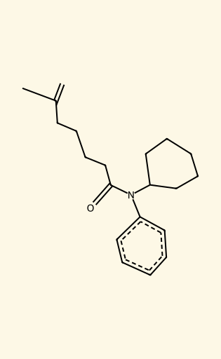 C=C(C)CCCCC(=O)N(c1ccccc1)C1CCCCC1